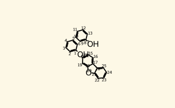 Oc1ccccc1.Oc1ccccc1.c1ccc2c(c1)oc1ccccc12